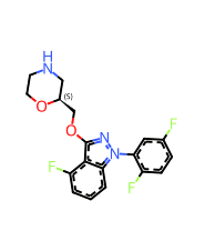 Fc1ccc(F)c(-n2nc(OC[C@@H]3CNCCO3)c3c(F)cccc32)c1